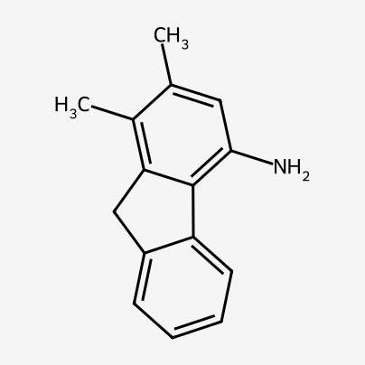 Cc1cc(N)c2c(c1C)Cc1ccccc1-2